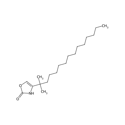 CCCCCCCCCCCCCC(C)(C)c1coc(=O)[nH]1